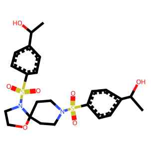 CC(O)c1ccc(S(=O)(=O)N2CCC3(CC2)OCCN3S(=O)(=O)c2ccc(C(C)O)cc2)cc1